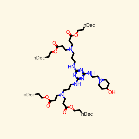 CCCCCCCCCCCCOC(=O)CCN(CCCNc1nc(NCCCN(CCC(=O)OCCCCCCCCCCCC)CCC(=O)OCCCCCCCCCCCC)nc(NCCN2CCC(O)CC2)n1)CCC(=O)OCCCCCCCCCCCC